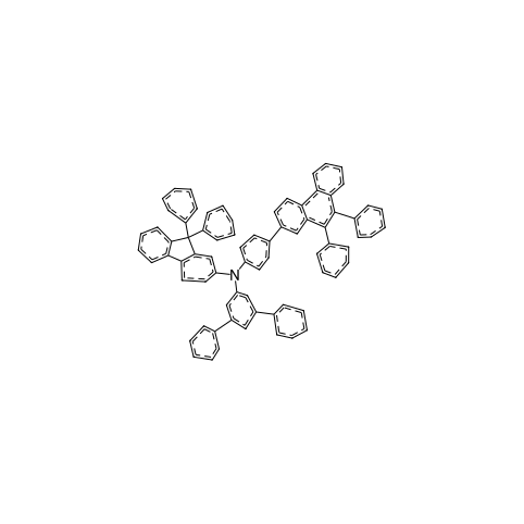 c1ccc(-c2cc(-c3ccccc3)cc(N(c3ccc(-c4ccc5c(c4)c(-c4ccccc4)c(-c4ccccc4)c4ccccc45)cc3)c3ccc4c(c3)C(c3ccccc3)(c3ccccc3)c3ccccc3-4)c2)cc1